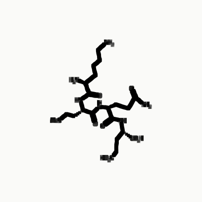 CSCC[C@H](NC(=O)[C@@H](N)CCCCN)C(=O)N[C@@H](CCC(N)=O)C(=O)N[C@@H](CCC(=O)O)C(=O)O